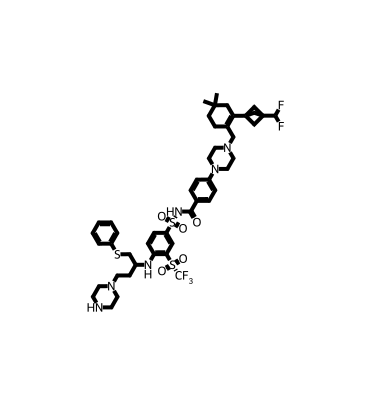 CC1(C)CCC(CN2CCN(c3ccc(C(=O)NS(=O)(=O)c4ccc(NC(CCN5CCNCC5)CSc5ccccc5)c(S(=O)(=O)C(F)(F)F)c4)cc3)CC2)=C(C23CC(C(F)F)(C2)C3)C1